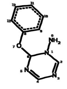 NN1C=NC=NC1Oc1ccccc1